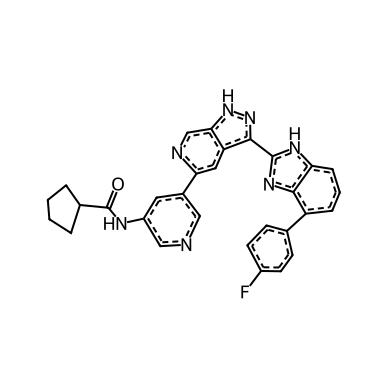 O=C(Nc1cncc(-c2cc3c(-c4nc5c(-c6ccc(F)cc6)cccc5[nH]4)n[nH]c3cn2)c1)C1CCCC1